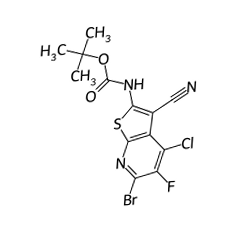 CC(C)(C)OC(=O)Nc1sc2nc(Br)c(F)c(Cl)c2c1C#N